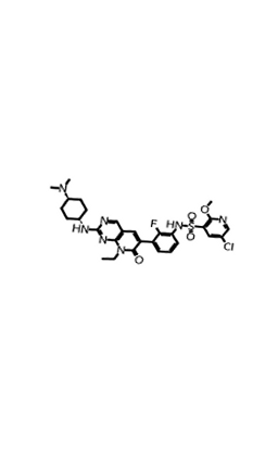 CCn1c(=O)c(-c2cccc(NS(=O)(=O)c3cc(Cl)cnc3OC)c2F)cc2cnc(N[C@H]3CC[C@H](N(C)C)CC3)nc21